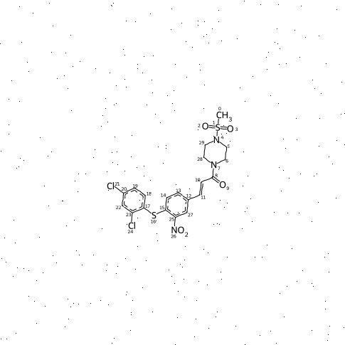 CS(=O)(=O)N1CCN(C(=O)C=Cc2ccc(Sc3ccc(Cl)cc3Cl)c([N+](=O)[O-])c2)CC1